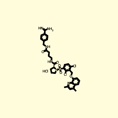 Cc1cc(C)c2cccc(OCc3c(Cl)ccc(S(=O)(=O)N4CCC[C@H]4C(=O)NCCCC(=O)NCc4ccc(C(=N)N)cc4)c3Cl)c2n1.Cl